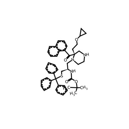 CC(C)(C)OC(=O)N[C@@H](CSC(c1ccccc1)(c1ccccc1)c1ccccc1)CN1CCNC[C@@]1(CCOC1CC1)C(=O)c1cccc2ccccc12